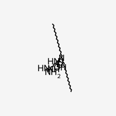 CCCCCCCCCCCCCCCCCCN(CCCCCCCCCCCCCCCCCC)CC(=O)NC(CCCNC(=N)N)C(=O)O